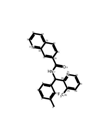 Cc1cccc(C(NC(=O)c2ccc3cccnc3c2)c2ncccc2C(F)(F)F)c1